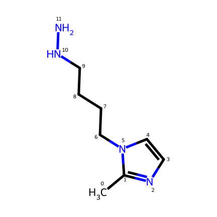 Cc1nccn1CCCCNN